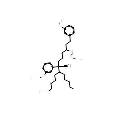 CCCCCC(CCCCC)C(C#N)(CCCC(CCc1cccc(OC)c1)N=NC)c1cccc(OC)c1